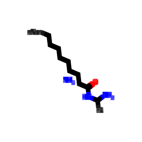 CCCCCCCCCCCCCCCCCC(=O)NC(N)CC.N